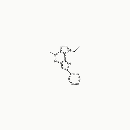 CCn1ccc2c(C)nc3cc(-c4ccccc4)nn3c21